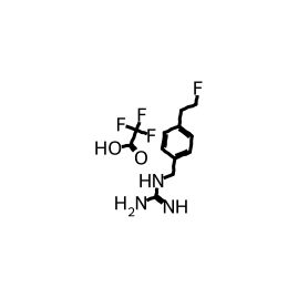 N=C(N)NCc1ccc(CCF)cc1.O=C(O)C(F)(F)F